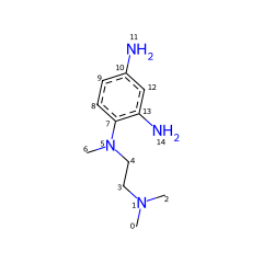 CN(C)CCN(C)c1ccc(N)cc1N